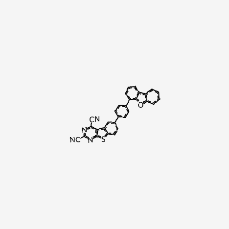 N#Cc1nc(C#N)c2c(n1)sc1ccc(-c3ccc(-c4cccc5c4oc4ccccc45)cc3)cc12